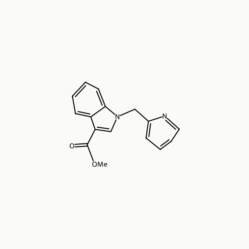 COC(=O)c1cn(Cc2ccccn2)c2ccccc12